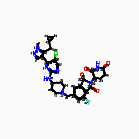 Cn1ncc(-c2nc(NC3CCN(Cc4cc(F)c5c(c4)C(=O)N(C4CCC(=O)NC4=O)C5=O)CC3)ncc2Cl)c1CC1CC1